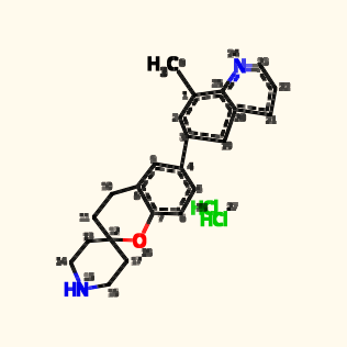 Cc1cc(-c2ccc3c(c2)CCC2(CCNCC2)O3)cc2cccnc12.Cl.Cl